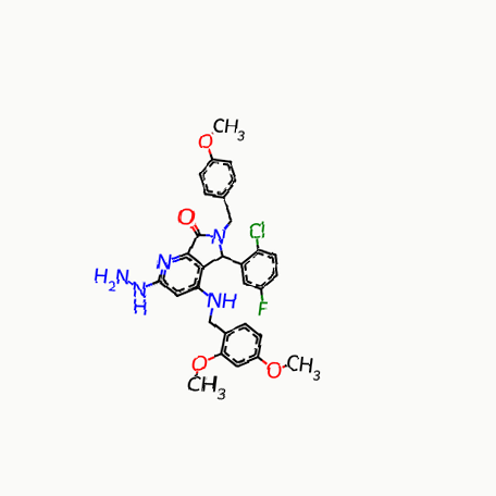 COc1ccc(CN2C(=O)c3nc(NN)cc(NCc4ccc(OC)cc4OC)c3C2c2cc(F)ccc2Cl)cc1